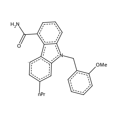 CCCc1c[c]c2c3c(C(N)=O)cccc3n(Cc3ccccc3OC)c2c1